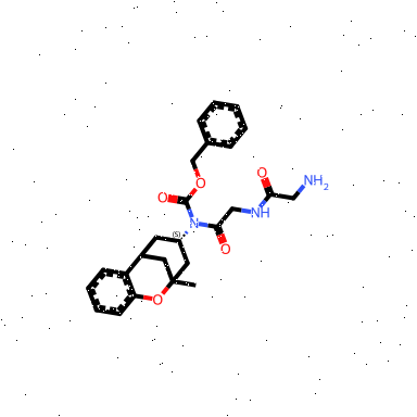 CC12CC(C[C@H](N(C(=O)CNC(=O)CN)C(=O)OCc3ccccc3)C1)c1ccccc1O2